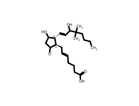 CCCCC(C)(C)C(O)C=C[C@H]1C(O)CC(Cl)[C@@H]1CC=CCCCC(=O)O